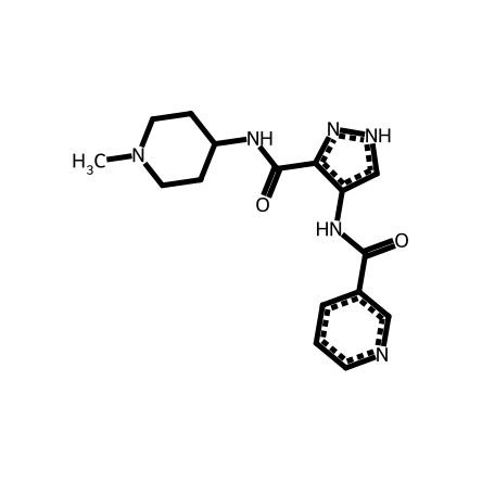 CN1CCC(NC(=O)c2n[nH]cc2NC(=O)c2cccnc2)CC1